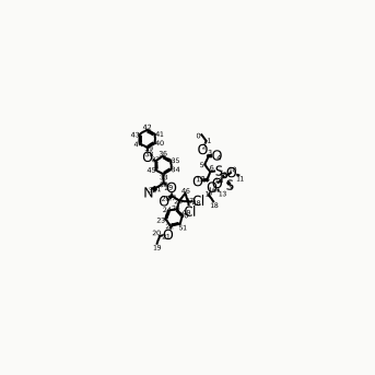 CCOC(=O)CC(SP(=S)(OC)OC)C(=O)OCC.CCOc1ccc(C2(C(=O)OC(C#N)c3cccc(Oc4ccccc4)c3)CC2(Cl)Cl)cc1